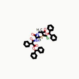 CC1(C(=O)OC(c2ccccc2)c2ccccc2)CN2C(=O)C(NC(=O)C(C(=O)OC(c3ccccc3)c3ccccc3)c3ccccc3)[C@H]2SC1=CBr